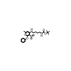 Cc1cc(NCCCCNC(=O)OC(C)(C)C)c([N+](=O)[O-])c(Oc2ccccc2)n1